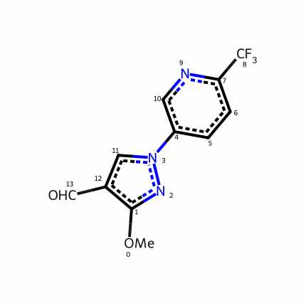 COc1nn(-c2ccc(C(F)(F)F)nc2)cc1C=O